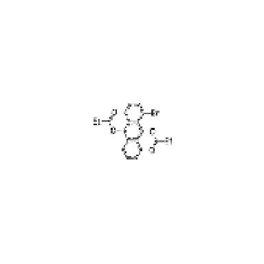 CCC(=O)Oc1c2ccccc2c(OC(=O)CC)c2c(Br)cccc12